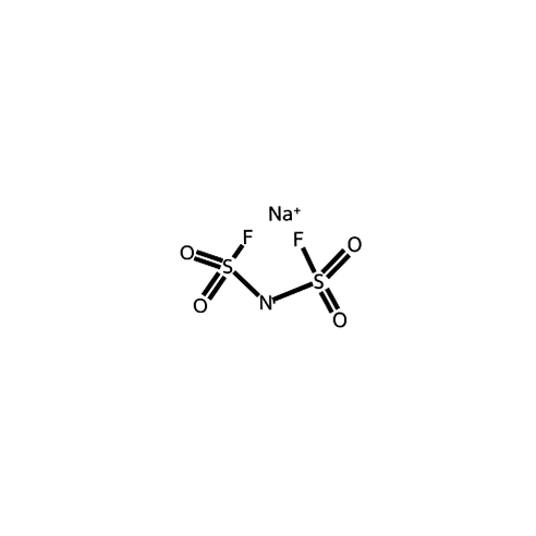 O=S(=O)(F)[N]S(=O)(=O)F.[Na+]